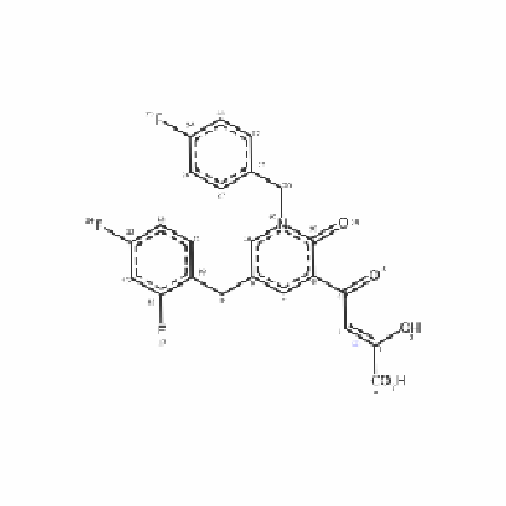 O=C(O)/C(O)=C/C(=O)c1cc(Cc2ccc(F)cc2F)cn(Cc2ccc(F)cc2)c1=O